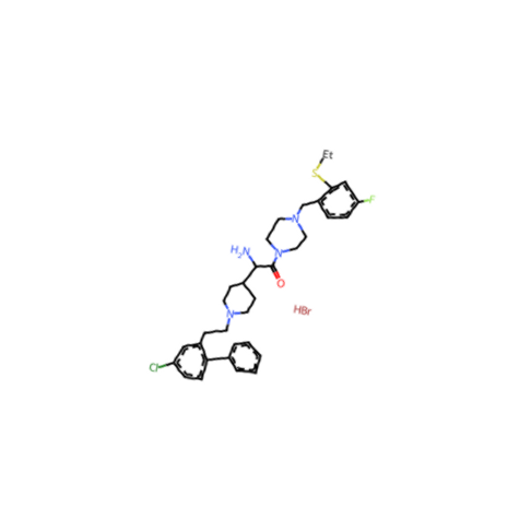 Br.CCSc1cc(F)ccc1CN1CCN(C(=O)C(N)C2CCN(CCc3cc(Cl)ccc3-c3ccccc3)CC2)CC1